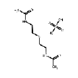 CC(=O)NCCSCCNC(C)=O.O=S(=O)(O)O